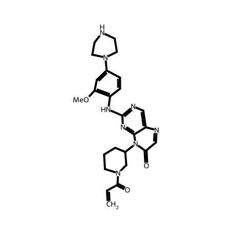 C=CC(=O)N1CCCC(n2c(=O)cnc3cnc(Nc4ccc(N5CCNCC5)cc4OC)nc32)C1